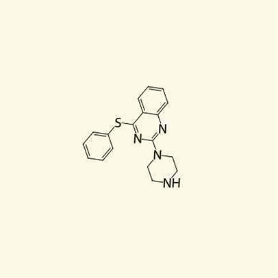 c1ccc(Sc2nc(N3CCNCC3)nc3ccccc23)cc1